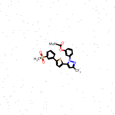 CNC(=O)Oc1cccc(-n2nc(C(F)(F)F)cc2-c2ccc(-c3cccc(S(C)(=O)=O)c3)s2)c1